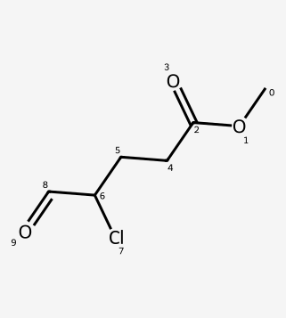 COC(=O)CCC(Cl)C=O